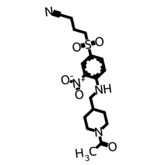 CC(=O)N1CCC(CNc2ccc(S(=O)(=O)CCCC#N)cc2[N+](=O)[O-])CC1